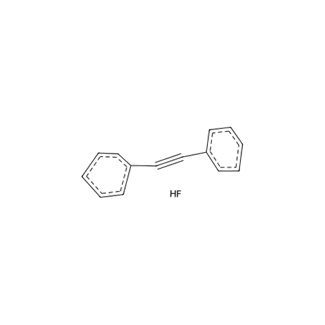 C(#Cc1ccccc1)c1ccccc1.F